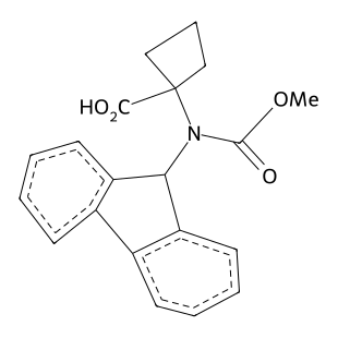 COC(=O)N(C1c2ccccc2-c2ccccc21)C1(C(=O)O)CCC1